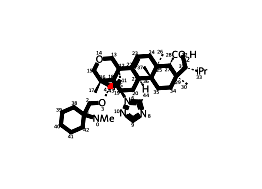 CNC1(CO[C@H]2[C@H](n3cncn3)C[C@@]34COC[C@]2(C)[C@@H]3CC[C@H]2C4=CC[C@@]3(C)[C@H](C(=O)O)[C@@](C)([C@H](C)C(C)C)CC[C@]23C)CCCCC1